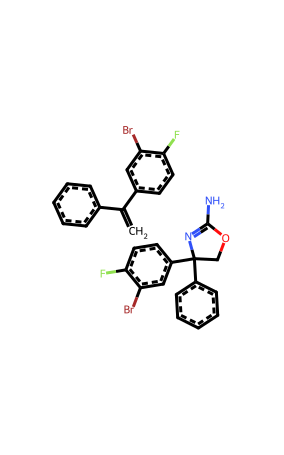 C=C(c1ccccc1)c1ccc(F)c(Br)c1.NC1=NC(c2ccccc2)(c2ccc(F)c(Br)c2)CO1